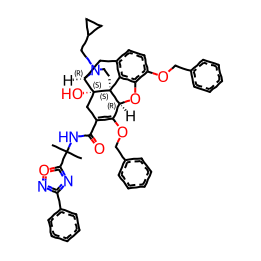 CC(C)(NC(=O)C1=C(OCc2ccccc2)[C@@H]2Oc3c(OCc4ccccc4)ccc4c3[C@@]23CCN(CC2CC2)[C@H](C4)[C@]3(O)C1)c1nc(-c2ccccc2)no1